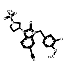 COc1ccc(Cn2c(=O)n([C@H]3CCN(S(C)(=O)=O)C3)c3ccc(C#N)cc32)cc1Cl